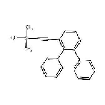 C[Si](C)(C)C#Cc1cccc(-c2ccccc2)c1-c1ccccc1